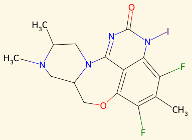 Cc1c(F)c2c3c(nc(=O)n(I)c3c1F)N1CC(C)N(C)CC1CO2